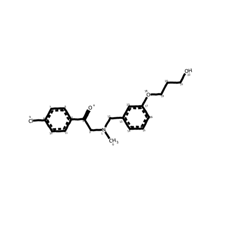 CN(CC(=O)c1ccc(Cl)cc1)Cc1cccc(OCCCO)c1